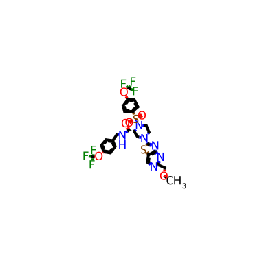 COCc1ncc2sc(N3CCN(S(=O)(=O)c4ccc(OC(F)(F)F)cc4)[C@@H](C(=O)NCc4ccc(OC(F)(F)F)cc4)C3)nc2n1